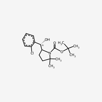 CC(C)(C)OC(=O)N1C([C@@H](O)c2ccccc2Cl)CCC1(C)C